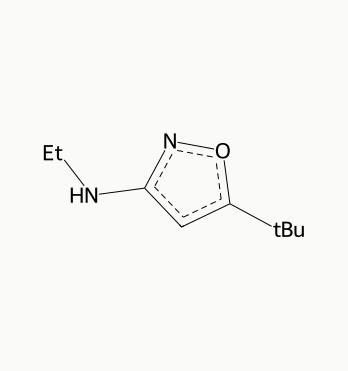 CCNc1cc(C(C)(C)C)on1